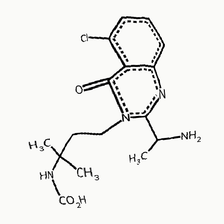 CC(N)c1nc2cccc(Cl)c2c(=O)n1CCC(C)(C)NC(=O)O